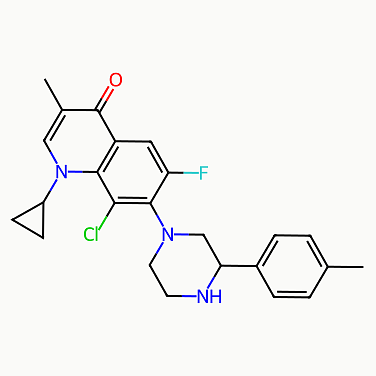 Cc1ccc(C2CN(c3c(F)cc4c(=O)c(C)cn(C5CC5)c4c3Cl)CCN2)cc1